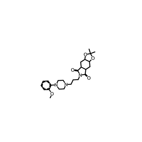 COc1ccccc1N1CCN(CCCN2C(=O)C3CC4OC(C)(C)OC4CC3C2=O)CC1